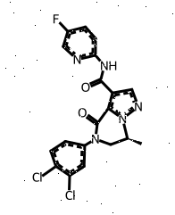 C[C@H]1CN(c2ccc(Cl)c(Cl)c2)C(=O)c2c(C(=O)Nc3ccc(F)cn3)cnn21